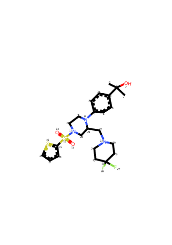 CC(C)(O)c1ccc(N2CCN(S(=O)(=O)c3cccs3)CC2CN2CCC(F)(F)CC2)cc1